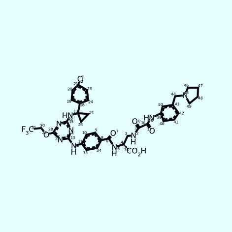 O=C(NC[C@H](NC(=O)c1ccc(Nc2nc(NC3(c4ccc(Cl)cc4)CC3)nc(OCC(F)(F)F)n2)cc1)C(=O)O)C(=O)Nc1cccc(CN2CCCC2)c1